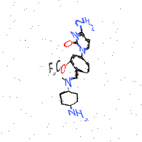 CN(Cc1ccc(-n2ccc(N)nc2=O)cc1OC(F)(F)F)[C@H]1CC[C@H](N)CC1